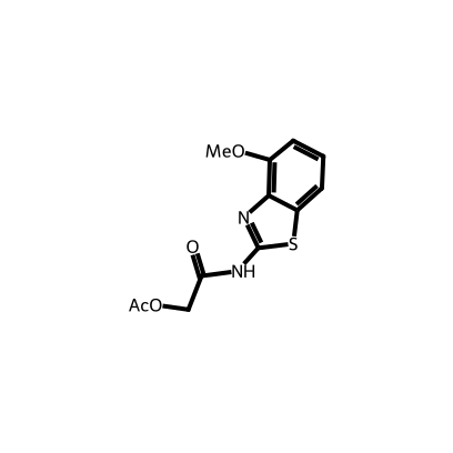 COc1cccc2sc(NC(=O)COC(C)=O)nc12